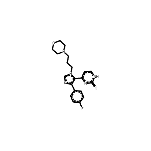 O=c1nc(-c2c(-c3ccc(F)cc3)ncn2CCCN2CCOCC2)cc[nH]1